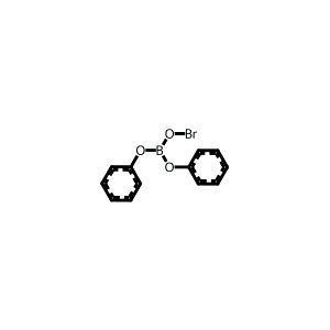 BrOB(Oc1ccccc1)Oc1ccccc1